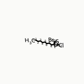 CCCCCCCCCc1pc(Cl)sc1Br